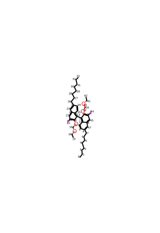 CCCCCCCCc1ccc2c(-c3c(OCOCC)c(I)cc4cc(CCCCCCCC)ccc34)c(OCOCC)c(I)cc2c1